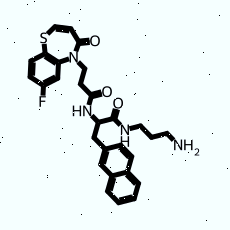 NCCCNC(=O)C(Cc1ccc2ccccc2c1)NC(=O)CCN1C(=O)C=CSc2ccc(F)cc21